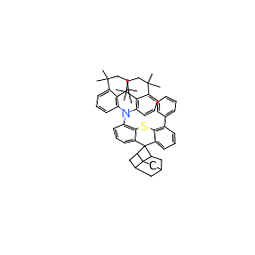 CC1(C)CCC(C)(C)c2c(N(c3cccc4c3Sc3c(-c5ccccc5)cccc3C43C4CC5CC6CC3C64C5)c3cccc4c3C(C)(C)CCC4(C)C)cccc21